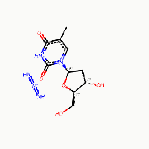 Cc1cn([C@H]2C[C@H](O)[C@@H](CO)O2)c(=O)[nH]c1=O.N=[N+]=N